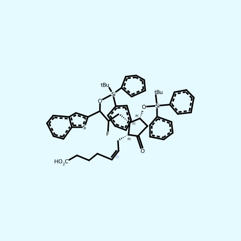 CC(C)(C)[Si](OC(c1cc2ccccc2s1)C(F)C[C@@H]1[C@H](O[Si](c2ccccc2)(c2ccccc2)C(C)(C)C)CC(=O)[C@@H]1C/C=C\CCCC(=O)O)(c1ccccc1)c1ccccc1